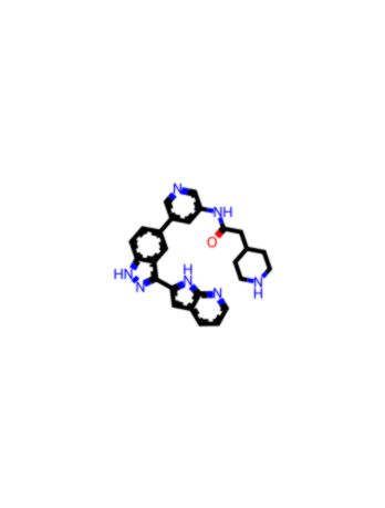 O=C(CC1CCNCC1)Nc1cncc(-c2ccc3[nH]nc(-c4cc5cccnc5[nH]4)c3c2)c1